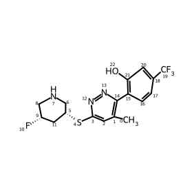 Cc1cc(S[C@H]2CNC[C@@H](F)C2)nnc1-c1ccc(C(F)(F)F)cc1O